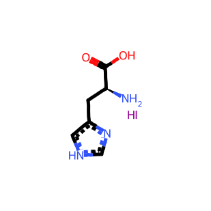 I.N[C@@H](Cc1c[nH]cn1)C(=O)O